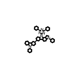 c1ccc(-c2nc(-c3ccccc3)nc(-n3c4ccc(-c5ccc6c(c5)c5ccccc5n6-c5ccccc5)cc4c4ccc5c(ccn5-c5ccccc5)c43)n2)cc1